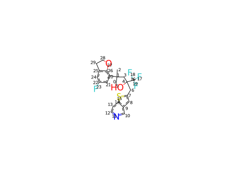 CC(C)(CC(O)(Cc1cc2cnccc2s1)C(F)(F)F)c1cc(F)cc2c1OCC2